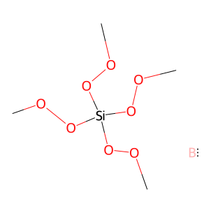 COO[Si](OOC)(OOC)OOC.[B]